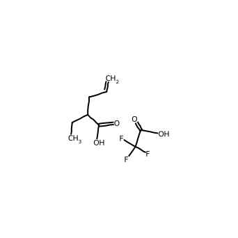 C=CCC(CC)C(=O)O.O=C(O)C(F)(F)F